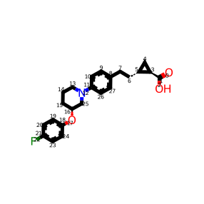 O=C(O)[C@@H]1C[C@H]1CCc1ccc(N2CCC[C@H](Oc3ccc(F)cc3)C2)cc1